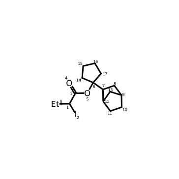 CCC(I)C(=O)OC1(C2CC3CCC2C3)CCCC1